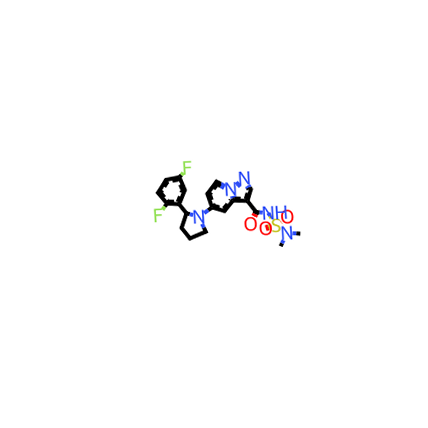 CN(C)S(=O)(=O)NC(=O)c1cnn2ccc(N3CCCC3c3cc(F)ccc3F)cc12